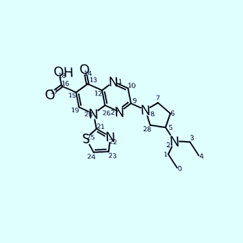 CCN(CC)C1CCN(c2cnc3c(=O)c(C(=O)O)cn(-c4nccs4)c3n2)C1